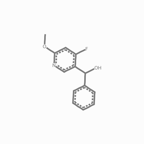 COc1cc(F)c(C(O)c2ccccc2)cn1